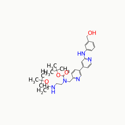 C=C(NCCN(Cc1ccc(-c2ccnc(Nc3cccc(CO)c3)c2)cn1)C(=O)OC(C)(C)C)OC(C)(C)C